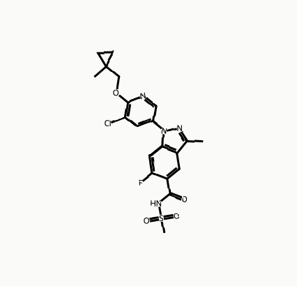 Cc1nn(-c2cnc(OCC3(C)CC3)c(Cl)c2)c2cc(F)c(C(=O)NS(C)(=O)=O)cc12